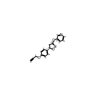 C#CCOc1ccc([C@H]2CC(Oc3cccnc3)=NO2)cc1